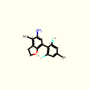 CC(C)c1cc(F)c(-c2cc(N)c(C#N)c3c2OCC3)c(F)c1